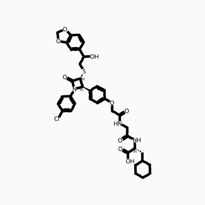 O=C(COc1ccc([C@@H]2[C@@H](SCC(O)c3ccc4c(c3)OCO4)C(=O)N2c2ccc(Cl)cc2)cc1)NCC(=O)N[C@H](CC1CCCCC1)C(=O)O